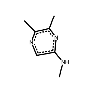 CNc1cnc(C)c(C)n1